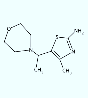 Cc1nc(N)sc1C(C)N1CCOCC1